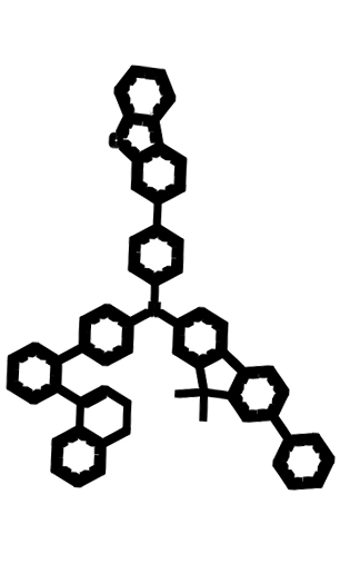 CC1(C)c2cc(-c3ccccc3)ccc2-c2ccc(N(c3ccc(-c4ccc5c(c4)oc4ccccc45)cc3)c3ccc(-c4ccccc4C4=CCCc5ccccc54)cc3)cc21